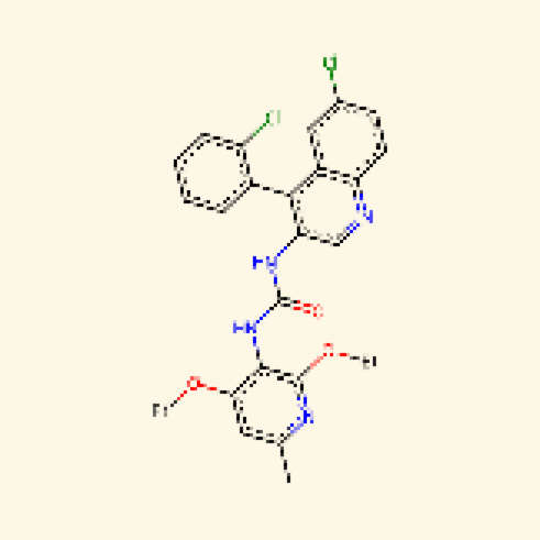 CCOc1cc(C)nc(OCC)c1NC(=O)Nc1cnc2ccc(Cl)cc2c1-c1ccccc1Cl